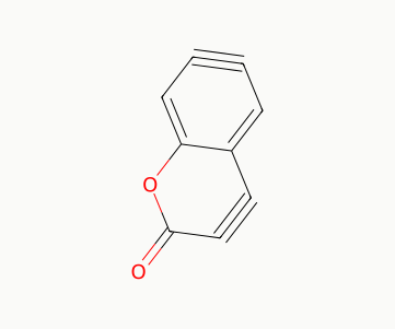 O=c1c#cc2cc#ccc2o1